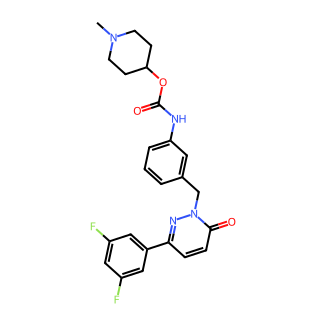 CN1CCC(OC(=O)Nc2cccc(Cn3nc(-c4cc(F)cc(F)c4)ccc3=O)c2)CC1